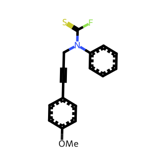 COc1ccc(C#CCN(C(F)=S)c2ccccc2)cc1